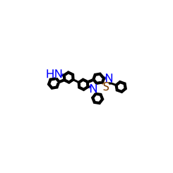 c1ccc(-c2nc3ccc4c5cc(-c6ccc7[nH]c8ccccc8c7c6)ccc5n(-c5ccccc5)c4c3s2)cc1